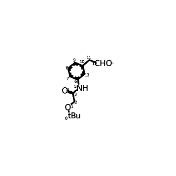 CC(C)(C)OCC(=O)Nc1cccc(C[C]=O)c1